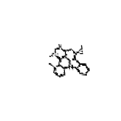 CSc1cc2nc[n+](C)c3c4c(C)cccc4n4c5ccccc5c1c4c23